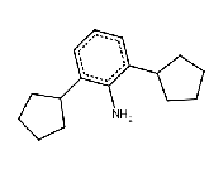 Nc1c(C2CCCC2)cccc1C1CCCC1